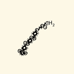 C=CC(=O)OCCCOc1ccc(C(=O)Oc2ccc(OC(=O)c3ccc(N4C(=O)C=CC4=O)cc3)cc2)cc1